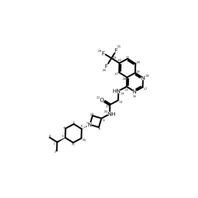 CC(C)[C@H]1CC[C@H](N2CC(NC(=O)CNc3ncnc4ccc(C(F)(F)F)cc34)C2)CC1